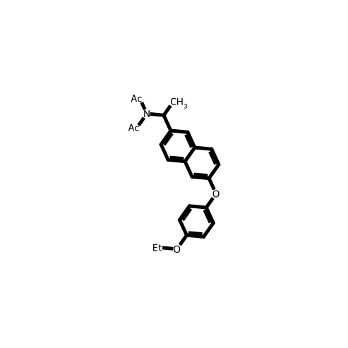 CCOc1ccc(Oc2ccc3cc(C(C)N(C(C)=O)C(C)=O)ccc3c2)cc1